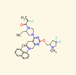 C=C(F)C(=O)N1CCN(c2nc(OCC3CC(F)(F)CN3C)nc3c2CCN(c2cccc4cccc(C)c24)C3)CC1CC#N